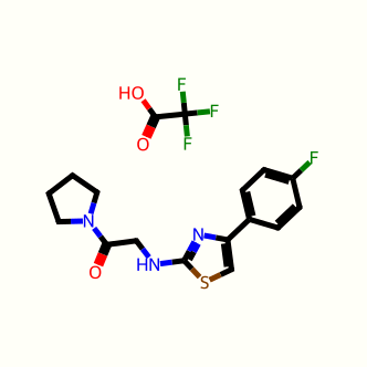 O=C(CNc1nc(-c2ccc(F)cc2)cs1)N1CCCC1.O=C(O)C(F)(F)F